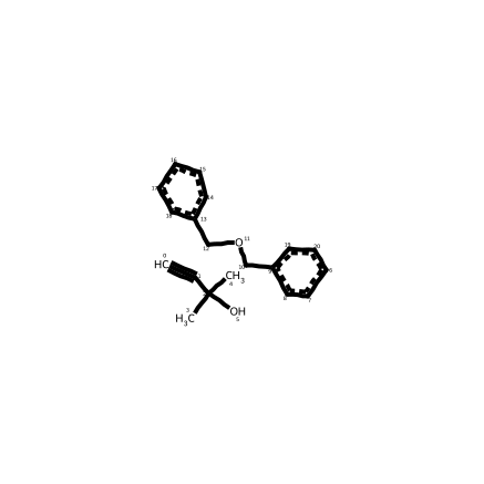 C#CC(C)(C)O.c1ccc(COCc2ccccc2)cc1